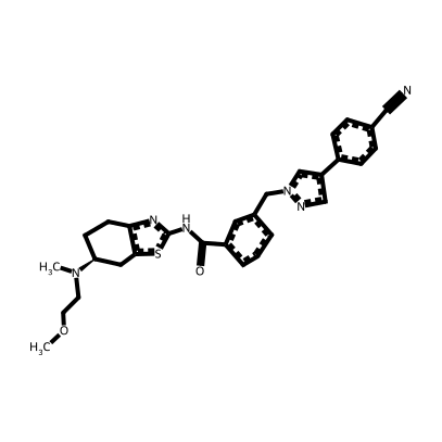 COCCN(C)[C@H]1CCc2nc(NC(=O)c3cccc(Cn4cc(-c5ccc(C#N)cc5)cn4)c3)sc2C1